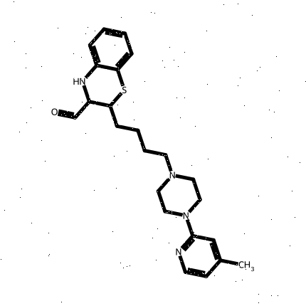 Cc1ccnc(N2CCN(CCCCC3Sc4ccccc4NC3C=O)CC2)c1